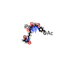 CC(=O)OCc1ccc(NC(=O)[C@H](C)NC(=O)[C@@H](NC(=O)CCCCCN2C(=O)CC(C)C2=O)C(C)C)cc1